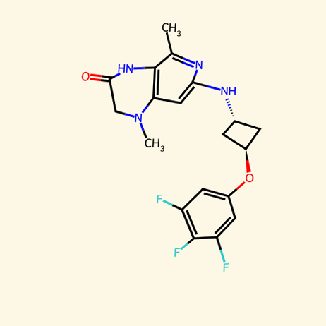 Cc1nc(N[C@H]2C[C@H](Oc3cc(F)c(F)c(F)c3)C2)cc2c1NC(=O)CN2C